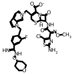 CON=C(C(=O)N[C@@H]1C(=O)N2C(C(=O)[O-])=C(C[n+]3ccc4ccn(Cc5ccc(C(=N)NOC6CCOCC6)cc5F)c4c3)CS[C@H]12)c1nc(N)sc1Cl